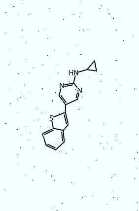 c1ccc2sc(-c3cnc(NC4CC4)nc3)cc2c1